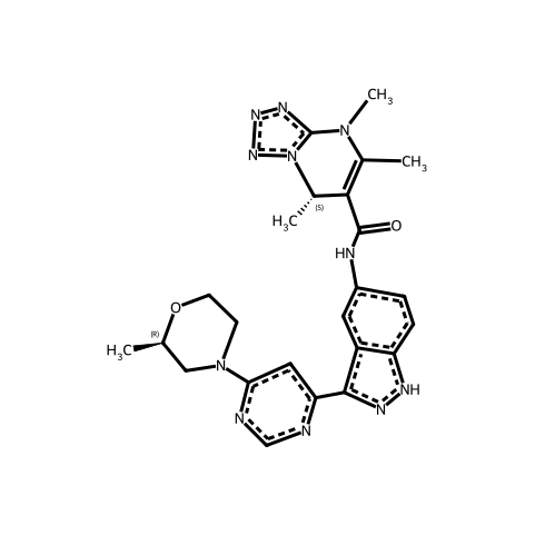 CC1=C(C(=O)Nc2ccc3[nH]nc(-c4cc(N5CCO[C@H](C)C5)ncn4)c3c2)[C@H](C)n2nnnc2N1C